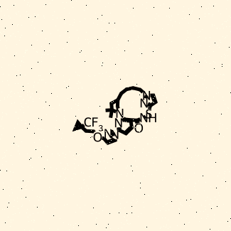 CC1(C)CC2CCCCn3ccc(n3)SNC(=O)c3ccc(-n4ccc(OCCC5(C(F)(F)F)CC5)n4)nc3N1C2